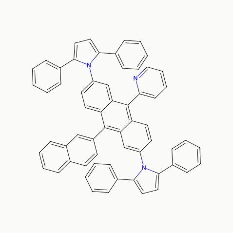 c1ccc(-c2ccc(-c3ccccc3)n2-c2ccc3c(-c4ccccn4)c4cc(-n5c(-c6ccccc6)ccc5-c5ccccc5)ccc4c(-c4ccc5ccccc5c4)c3c2)cc1